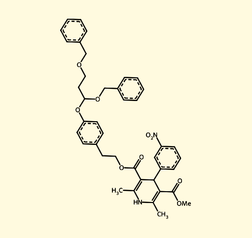 COC(=O)C1=C(C)NC(C)=C(C(=O)OCCc2ccc(OC(CCOCc3ccccc3)OCc3ccccc3)cc2)C1c1cccc([N+](=O)[O-])c1